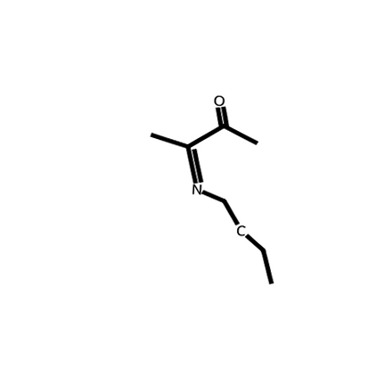 CCCC/N=C(/C)C(C)=O